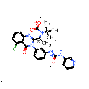 C[C@@H](c1nc2cccc(Cl)c2c(=O)n1-c1cccc(NC(=O)Nc2cccnc2)c1)N(C(=O)O)C(C)(C)C